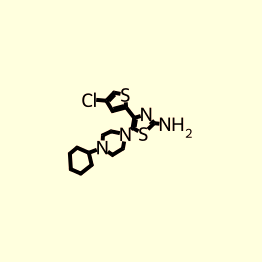 Nc1nc(-c2cc(Cl)cs2)c(N2CCN(C3CCCCC3)CC2)s1